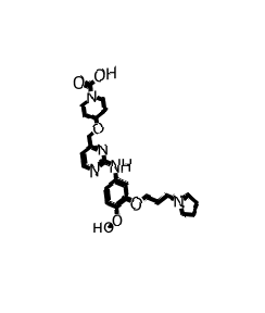 O=C(O)N1CCC(OCc2ccnc(Nc3ccc(OO)c(OCCCN4CCCC4)c3)n2)CC1